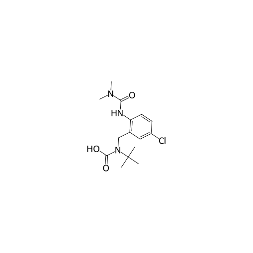 CN(C)C(=O)Nc1ccc(Cl)cc1CN(C(=O)O)C(C)(C)C